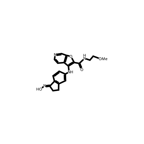 COCCNC(=O)c1oc2cnccc2c1Nc1ccc2c(c1)CC/C2=N\O